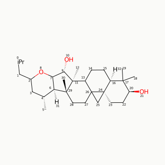 CC(C)CC1C[C@@H](C)[C@H]2C(O1)[C@H](O)[C@@]1(C)C3CC[C@H]4C(C)(C)[C@@H](O)CC[C@@]45CC35CC[C@]21C